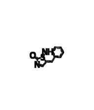 N=S1C(=O)N=CC1=Cc1ccccc1